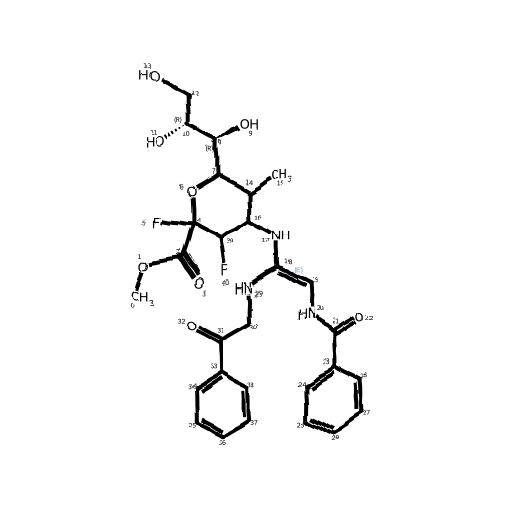 COC(=O)C1(F)OC([C@H](O)[C@H](O)CO)C(C)C(N/C(=C/NC(=O)c2ccccc2)NCC(=O)c2ccccc2)C1F